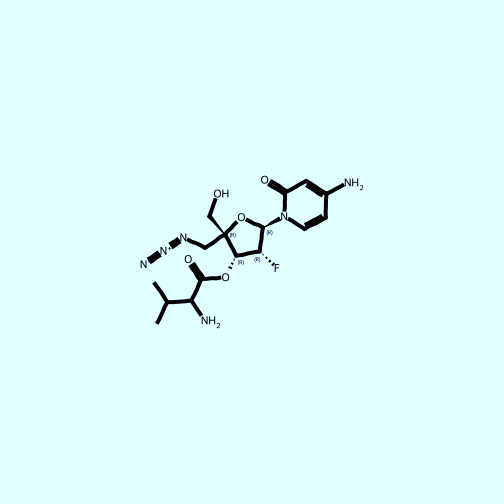 CC(C)C(N)C(=O)O[C@H]1[C@@H](F)[C@H](n2ccc(N)cc2=O)O[C@@]1(CO)CN=[N+]=[N-]